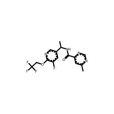 Cc1cc(C(=O)NC(C)c2cnc(OCC(F)(F)F)c(F)c2)ncn1